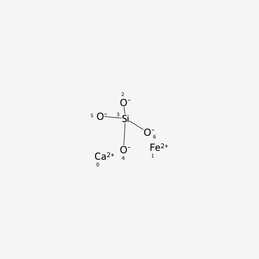 [Ca+2].[Fe+2].[O-][Si]([O-])([O-])[O-]